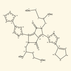 CCCCCCCCCCCCC(CCCCCCCCCC)CN1C(=O)C2=C(c3ncc(-c4cccs4)s3)N(CC(CCCCCCCCCC)CCCCCCCCCCCC)C(=O)C2=C1c1ncc(C2=CCCS2)s1